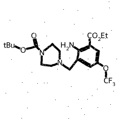 CCOC(=O)c1cc(OC(F)(F)F)cc(CN2CCN(C(=O)OC(C)(C)C)CC2)c1N